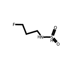 O=[SH](=O)NCCCF